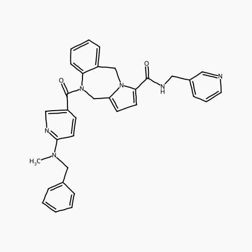 CN(Cc1ccccc1)c1ccc(C(=O)N2Cc3ccc(C(=O)NCc4cccnc4)n3Cc3ccccc32)cn1